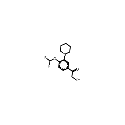 CC(C)CC(=O)c1ccc(OC(F)F)c(N2CCCCC2)c1